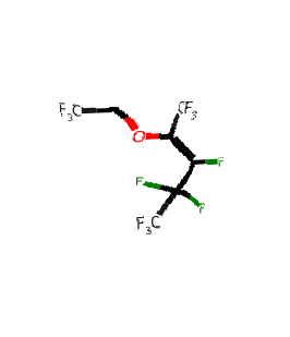 F/C(=C(/OCC(F)(F)F)C(F)(F)F)C(F)(F)C(F)(F)F